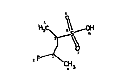 CC(F)C(C)S(=O)(=O)O